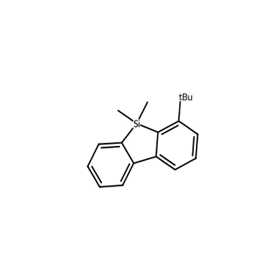 CC(C)(C)c1cccc2c1[Si](C)(C)c1ccccc1-2